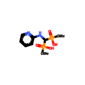 COP(=O)(O)C(Nc1ccccn1)P(=O)(O)OC